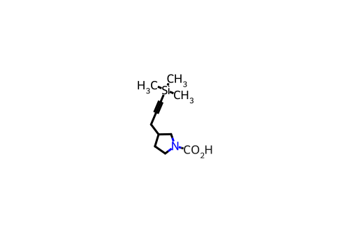 C[Si](C)(C)C#CCC1CCN(C(=O)O)C1